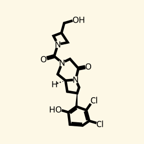 O=C(N1CC(CO)C1)N1CC(=O)N2C[C@@H](c3c(O)ccc(Cl)c3Cl)C[C@H]2C1